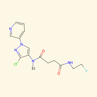 CCN(C(=O)CCC(=O)NCCF)c1cn(-c2cccnc2)nc1Cl